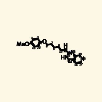 COc1ccc(OCCCCCN/C(=N/c2cccnc2)NC#N)cc1